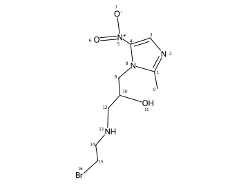 Cc1ncc([N+](=O)[O-])n1CC(O)CNCCBr